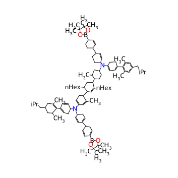 CCCCCCC1=CC(C2CC=C(N(C3C=CC(C4=C(C)CC(CC(C)C)CC4C)=CC3)C3C=CC(C4C=CC(B5OC(C)(C)C(C)(C)O5)=CC4)=CC3)C=C2C)C(CCCCCC)CC1C1CCC(N(C2=CC=C(c3c(C)cc(CC(C)C)cc3C)CC2)C2C=CC(C3C=CC(B4OC(C)(C)C(C)(C)O4)CC3)CC2)CC1C